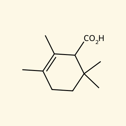 CC1=C(C)C(C(=O)O)C(C)(C)CC1